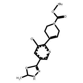 CC1NN=C(c2cnc(C3=CCN(C(=O)OC(C)(C)C)CC3)c(Cl)c2)O1